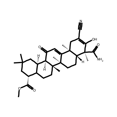 COC(=O)[C@@H]1CC(C)(C)C[C@@H]2C1CC[C@]1(C)[C@@H]2C(=O)C=C2[C@@]3(C)CC(C#N)=C(O)[C@@](C)(C(N)=O)[C@@H]3CC[C@]21C